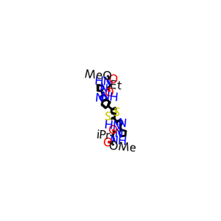 CC[C@@H](NC(=O)OC)C(=O)N1CC=CC1c1nc2ccc(-c3csc4c(-c5cnc(C6CCCN6C(=O)[C@@H](NC(=O)OC)C(C)C)[nH]5)csc34)cc2[nH]1